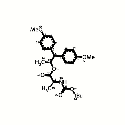 COc1ccc(C(c2ccc(OC)cc2)[C@H](C)OC(=O)[C@H](C)NC(=O)OC(C)(C)C)cc1